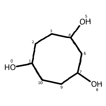 OC1CCC(O)CC(O)CC1